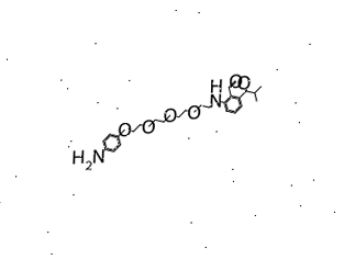 CC(C)C(=O)c1cccc(NCCOCCOCCOCCOc2ccc(N)cc2)c1C=O